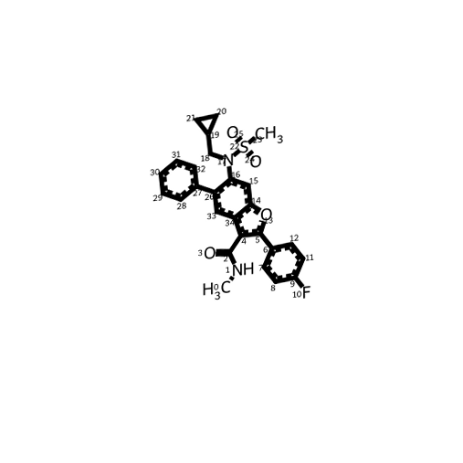 CNC(=O)c1c(-c2ccc(F)cc2)oc2cc(N(CC3CC3)S(C)(=O)=O)c(-c3ccccc3)cc12